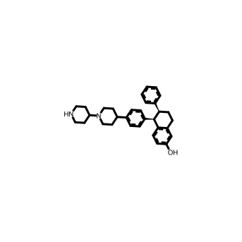 Oc1ccc2c(c1)CC[C@H](c1ccccc1)[C@@H]2c1ccc(C2CCN(C3CCNCC3)CC2)cc1